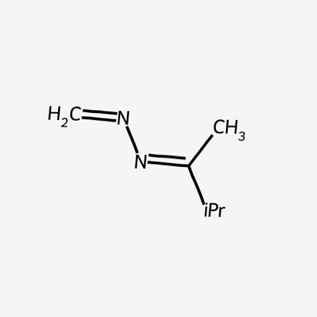 C=NN=C(C)C(C)C